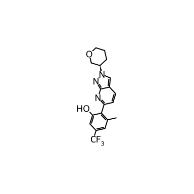 Cc1cc(C(F)(F)F)cc(O)c1-c1ccc2cn([C@@H]3CCCOC3)nc2n1